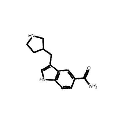 NC(=O)c1ccc2[nH]cc(CC3CCNC3)c2c1